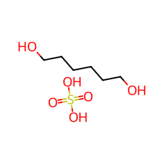 O=S(=O)(O)O.OCCCCCCO